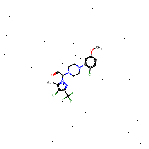 COc1ccc(Cl)c(N2CCN(C(C=O)n3nc(C(F)(F)F)c(Cl)c3C)CC2)c1